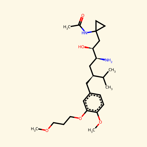 COCCCOc1cc(C[C@@H](C[C@H](N)[C@@H](O)CC2(NC(C)=O)CC2)C(C)C)ccc1OC